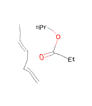 C=CC=CC.CCCOC(=O)CC